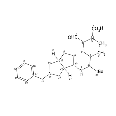 CC(CC(C=O)N(C)C(=O)O)C(N[C@H]1CC[C@@H]2CN(Cc3ccccc3)C[C@@H]21)C(C)(C)C